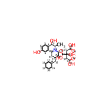 CC(C(O)c1ccc(O)cc1)N1CCC(Cc2ccccc2)CC1.O=C(O)CC(O)(CC(=O)O)C(=O)O